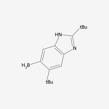 Bc1cc2[nH]c(C(C)(C)C)nc2cc1C(C)(C)C